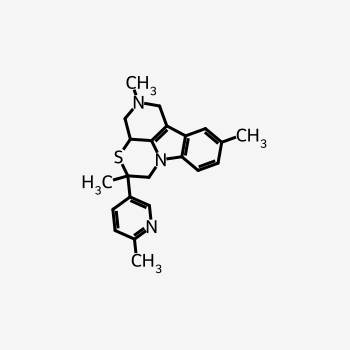 Cc1ccc2c(c1)c1c3n2CC(C)(c2ccc(C)nc2)SC3CN(C)C1